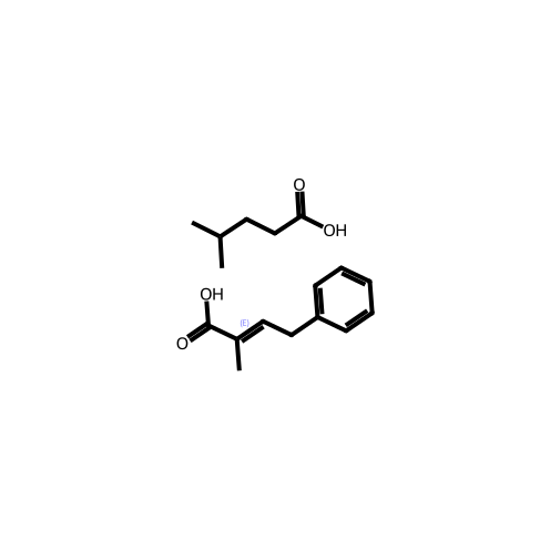 C/C(=C\Cc1ccccc1)C(=O)O.CC(C)CCC(=O)O